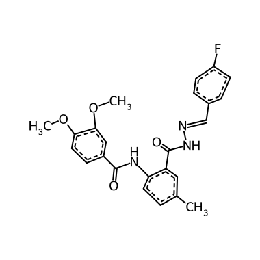 COc1ccc(C(=O)Nc2ccc(C)cc2C(=O)NN=Cc2ccc(F)cc2)cc1OC